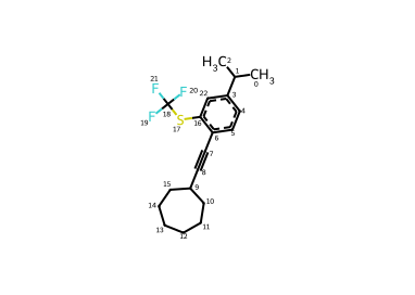 CC(C)c1ccc(C#CC2CCCCCC2)c(SC(F)(F)F)c1